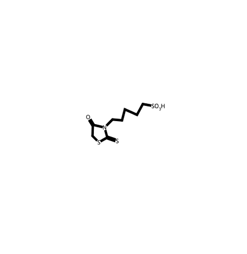 O=C1CSC(=S)N1CCCCCS(=O)(=O)O